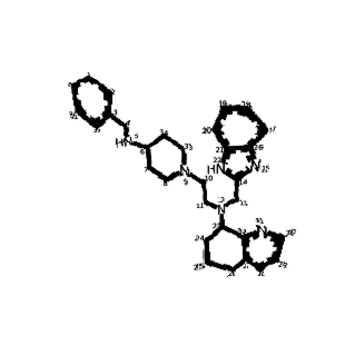 c1ccc(CNC2CCN(CCN(Cc3nc4ccccc4[nH]3)C3CCCc4cccnc43)CC2)cc1